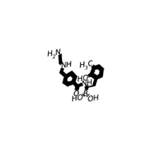 Cc1cccc(C[C@H](NC(=O)c2ccc(CNCCN)cc2)B(O)O)c1O